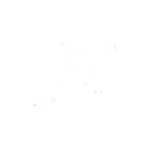 CC/C=C(OC)\C(=C/CCNC)OC